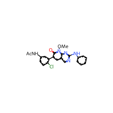 COn1c(=O)c(-c2cc(NC(C)=O)ccc2Cl)cc2cnc(Nc3ccccc3)nc21